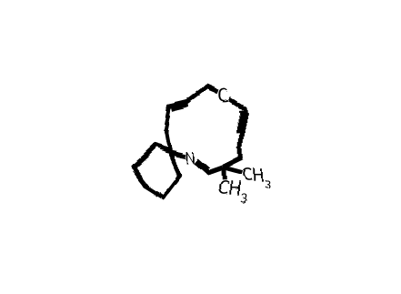 CC1(C)/C=N/C2(C/C=C/CC/C=C/C1)CCCCC2